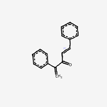 C=C(C(=O)/C=C/c1ccccc1)c1ccccc1